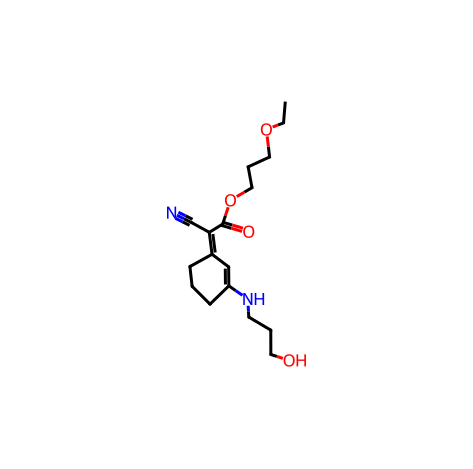 CCOCCCOC(=O)/C(C#N)=C1\C=C(NCCCO)CCC1